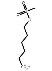 CS(=O)(=O)OCCCCCC(=O)O